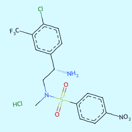 CN(C[C@@H](N)c1ccc(Cl)c(C(F)(F)F)c1)S(=O)(=O)c1ccc([N+](=O)[O-])cc1.Cl